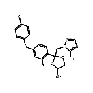 CCCC1COC(Cn2ncnc2S)(c2ccc(Oc3ccc(Cl)cc3)cc2Cl)O1